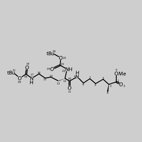 COC(=O)[C@@H](C)CCCCNC(=O)[C@H](CCCCNC(=O)OC(C)(C)C)NC(=O)OC(C)(C)C